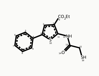 CCOC(=O)c1cc(-c2ccccc2)sc1NC(=O)CS